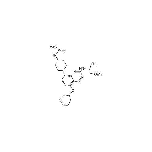 CNC(=O)N[C@H]1CC[C@H](c2cnc(OC3CCOCC3)c3cnc(N[C@@H](C)COC)nc32)CC1